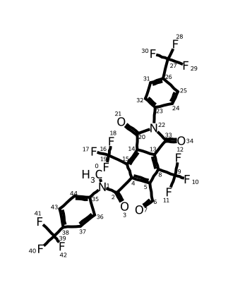 CN(C(=O)c1c(C=O)c(C(F)(F)F)c2c(c1C(F)(F)F)C(=O)N(c1ccc(C(F)(F)F)cc1)C2=O)c1ccc(C(F)(F)F)cc1